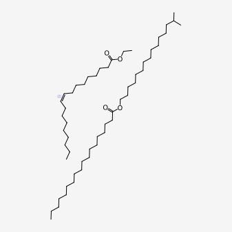 CCCCCCCC/C=C\CCCCCCCC(=O)OCC.CCCCCCCCCCCCCCCCCC(=O)OCCCCCCCCCCCCCC(C)C